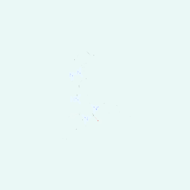 CCCCn1c(=O)c2[nH]c(-c3cnn(-c4ccccc4)c3)cc2n(CCCC)c1=O